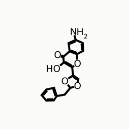 Nc1ccc2oc(C3=COC(Cc4ccccc4)O3)c(O)c(=O)c2c1